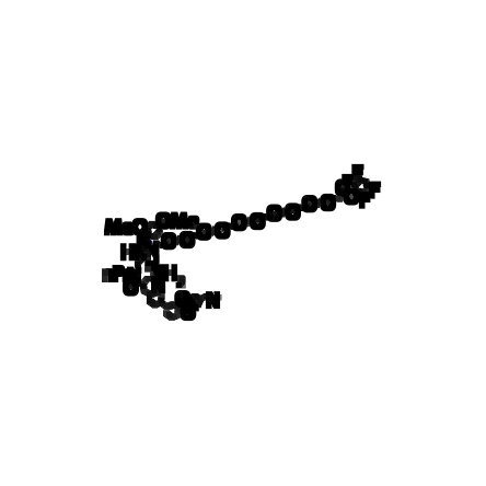 CCCN(CCCN/C(=N/c1ccc(OC)cc1OC)NCCOCCOCCOCCOCCOCCOCCOCCOCCOCCOCCC(=O)Oc1c(F)c(F)cc(F)c1F)C(=O)C1=Cc2ccc(-c3cccc(S(=O)(=O)N4CC(CN(C)C)C4)c3)cc2N=C(N)C1